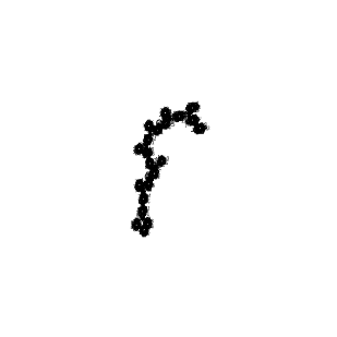 c1ccc(-c2ccc(N(c3ccccc3)c3ccc(-n4c5ccccc5c5c6oc7c(ccc8c7c7ccccc7n8-c7ccc(-n8c9ccccc9c9cc(-c%10ccc%11c%12c%13oc%14c(ccc%15c%14c%14ccccc%14n%15-c%14ccc(-c%15ccc(N(c%16ccccc%16)c%16cccc%17ccccc%16%17)cc%15)cc%14)c%13ccc%12n(-c%12ccccc%12)c%11c%10)ccc98)cc7)c6ccc54)cc3)cc2)cc1